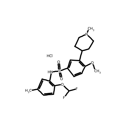 COc1ccc(S(=O)(=O)Nc2cc(C)ccc2OC(F)F)cc1C1CCN(C)CC1.Cl